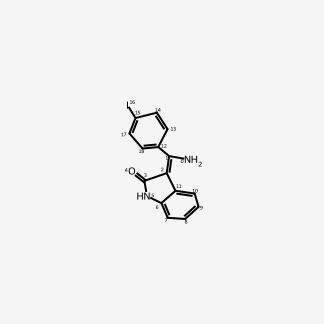 NC(=C1C(=O)Nc2ccccc21)c1ccc(I)cc1